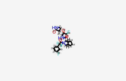 O=C1NCC[C@H]1C[C@@H](NC(=O)[C@@H]1[C@H]2CCC[C@H]2CN1C(=O)C(F)(F)c1cccc(F)c1)C(=O)CF